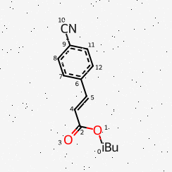 CCC(C)OC(=O)C=Cc1ccc(C#N)cc1